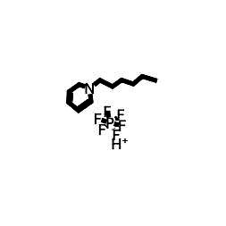 CCCCCCN1C=CC=CC1.F[P-](F)(F)(F)(F)F.[H+]